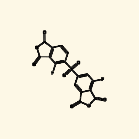 O=C1OC(=O)c2c(F)cc(S(=O)(=O)c3ccc4c(c3F)C(=O)OC4=O)cc21